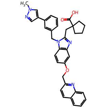 Cn1cc(-c2cccc(Cn3c(CC4(C(=O)O)CCCC4)nc4cc(OCc5ccc6ccccc6n5)ccc43)c2)cn1